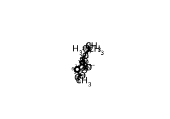 COC(=O)c1cccc(-c2cn(COCC[Si](C)(C)C)nc2[N+](=O)[O-])c1